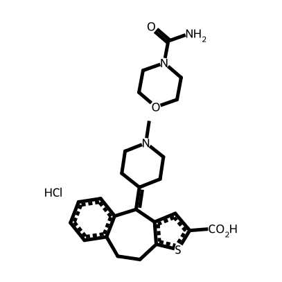 CN1CCC(=C2c3ccccc3CCc3sc(C(=O)O)cc32)CC1.Cl.NC(=O)N1CCOCC1